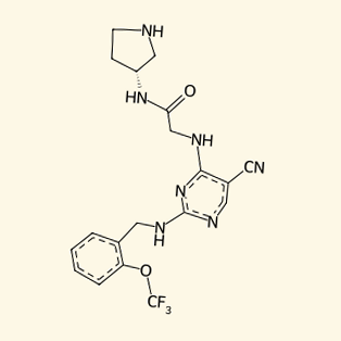 N#Cc1cnc(NCc2ccccc2OC(F)(F)F)nc1NCC(=O)N[C@@H]1CCNC1